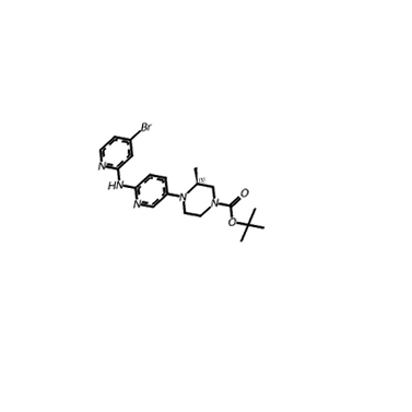 C[C@H]1CN(C(=O)OC(C)(C)C)CCN1c1ccc(Nc2cc(Br)ccn2)nc1